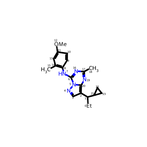 CCC(c1cnn2c(Nc3ccc(OC)cc3C)nc(C)nc12)C1CC1